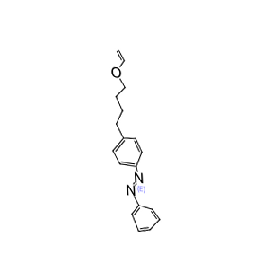 C=COCCCCc1ccc(/N=N/c2ccccc2)cc1